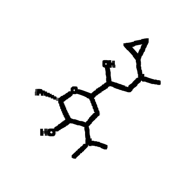 CC(C)[C@@H]1OC(C(O)CN(C)C2CC2)CC(N(C)C)C1O